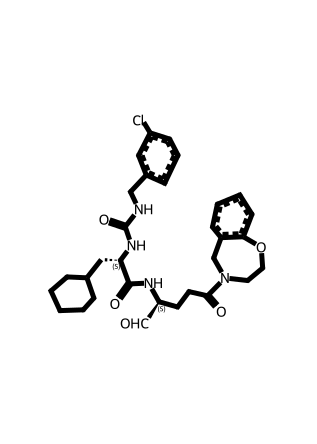 O=C[C@H](CCC(=O)N1CCOc2ccccc2C1)NC(=O)[C@H](CC1CCCCC1)NC(=O)NCc1cccc(Cl)c1